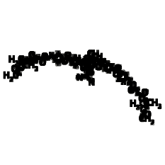 C=CC(=O)OCC(C)(C)COC(=O)CCC(=O)OCCc1ccc(OC(=O)C2CCC(C(=O)Oc3cc(C(C)(C)C)c(OC(=O)C4CCC(C(=O)Oc5ccc(CCOC(=O)CCC(=O)OCC(C)(C)COC(=O)C=C)cc5)CC4)c4c3SC(=C(C#N)C#N)S4)CC2)cc1